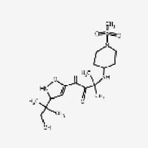 CC(C)(NC1CCN(S(C)(=O)=O)CC1)C(=O)NC1=CC(C(C)(C)CO)NO1